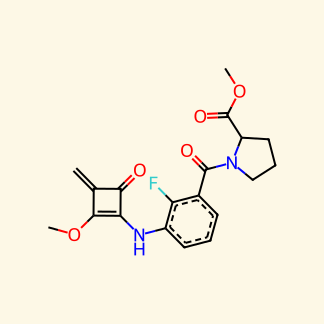 C=C1C(=O)C(Nc2cccc(C(=O)N3CCCC3C(=O)OC)c2F)=C1OC